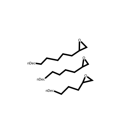 CCCCCCCCCCCCCC1CO1.CCCCCCCCCCCCCCC1CO1.CCCCCCCCCCCCCCCC1CO1